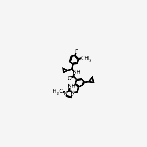 Cc1cc(C(NC(=O)c2cc(Cn3ccn(C)c3=N)cc(C3CC3)c2)C2CC2)ccc1F